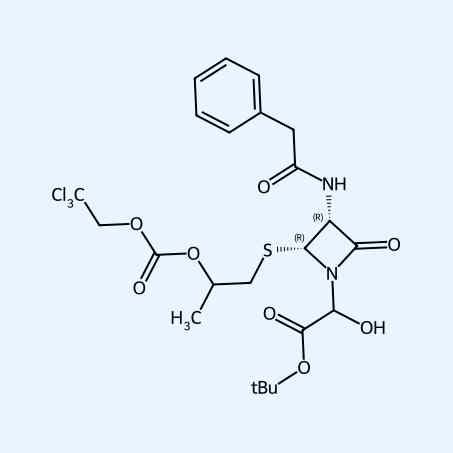 CC(CS[C@@H]1[C@H](NC(=O)Cc2ccccc2)C(=O)N1C(O)C(=O)OC(C)(C)C)OC(=O)OCC(Cl)(Cl)Cl